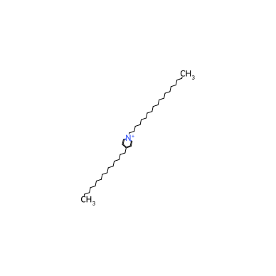 CCCCCCCCCCCCCCCCCCC[n+]1ccc(CCCCCCCCCCCCCCC)cc1